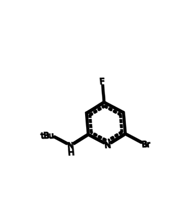 CC(C)(C)Nc1cc(F)cc(Br)n1